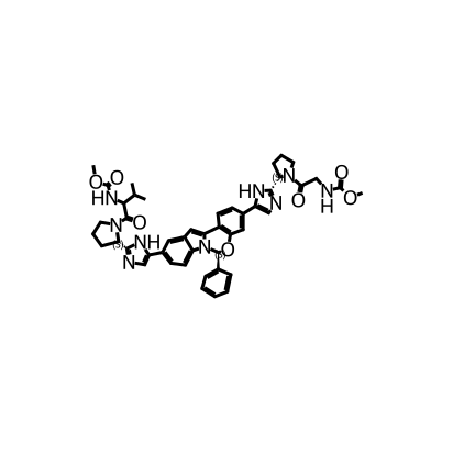 COC(=O)NCC(=O)N1CCC[C@H]1c1ncc(-c2ccc3c(c2)O[C@@H](c2ccccc2)n2c-3cc3cc(-c4cnc([C@@H]5CCCN5C(=O)C(NC(=O)OC)C(C)C)[nH]4)ccc32)[nH]1